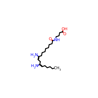 CCCCC/C=C(/N)C/C=C(/N)CCCCCCCC(=O)NCCCC(=O)O